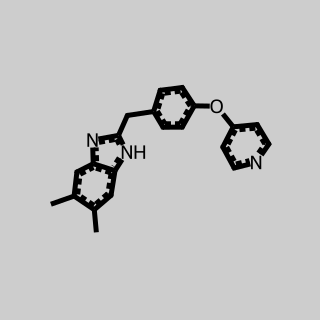 Cc1cc2nc(Cc3ccc(Oc4ccncc4)cc3)[nH]c2cc1C